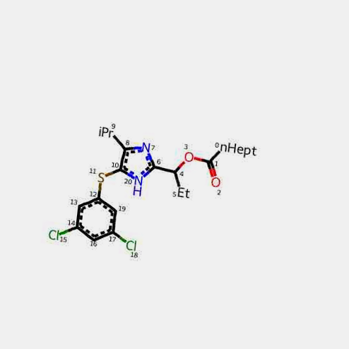 CCCCCCCC(=O)OC(CC)c1nc(C(C)C)c(Sc2cc(Cl)cc(Cl)c2)[nH]1